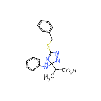 CC(C(=O)O)C1(Nc2ccccc2)N=NC(SCc2ccccc2)=N1